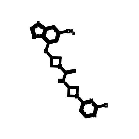 Cc1cc(OC2CN(C(=O)NC3CN(c4ccnc(Cl)n4)C3)C2)c2ncsc2c1